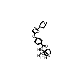 C[C@H]1[C@H](NC(=O)c2ccc(Oc3cnc(N4CCOCC4)o3)cc2)C2CCN1CC2